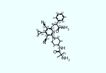 CC(C)(N)C(=O)NC1CCN(c2nc(SC(C(N)=O)c3ccccc3)c(C#N)c(C3CC3)c2C#N)CC1